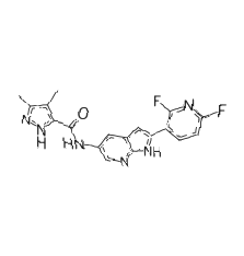 Cc1n[nH]c(C(=O)Nc2cnc3[nH]c(-c4ccc(F)nc4F)cc3c2)c1C